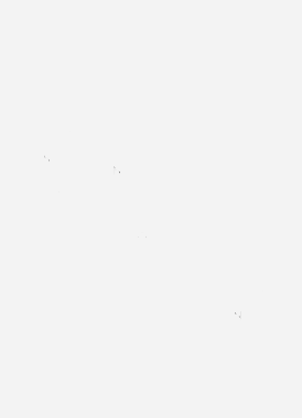 [O-][n+]1c2cccc(OCCCN3CCCC3)c2[n+]([O-])c2cccc(O)c21